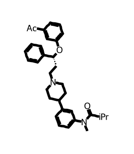 CC(=O)c1cccc(O[C@H](CCN2CCC(c3cccc(N(C)C(=O)C(C)C)c3)CC2)c2ccccc2)c1